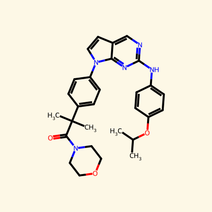 CC(C)Oc1ccc(Nc2ncc3ccn(-c4ccc(C(C)(C)C(=O)N5CCOCC5)cc4)c3n2)cc1